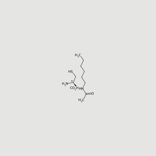 CCCCCCNC(C)=O.N[C@@H](CS)C(=O)O